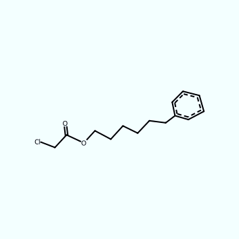 O=C(CCl)OCCCCCCc1ccccc1